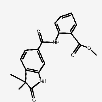 COC(=O)c1ccccc1NC(=O)c1ccc2c(c1)NC(=O)C2(C)C